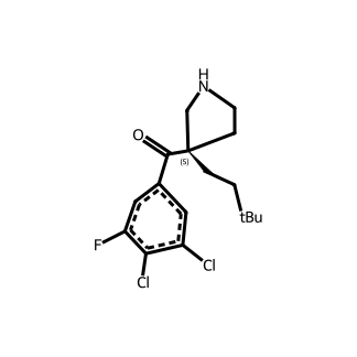 CC(C)(C)CC[C@]1(C(=O)c2cc(F)c(Cl)c(Cl)c2)CCNC1